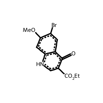 CCOC(=O)c1c[nH]c2cc(OC)c(Br)cc2c1=O